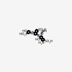 Nc1cc2c(O)c(/N=N/c3ccc(/N=N/c4ccc(O)c(C(=O)O)c4)c4ccc(S(=O)(=O)O)cc34)c(SOOO)cc2cc1S(=O)(=O)O